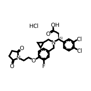 Cl.O=C(O)C[C@@H](c1ccc(Cl)c(Cl)c1)N(Cc1ccc(OCCN2C(=O)CCC2=O)c(F)c1)CC1CC1